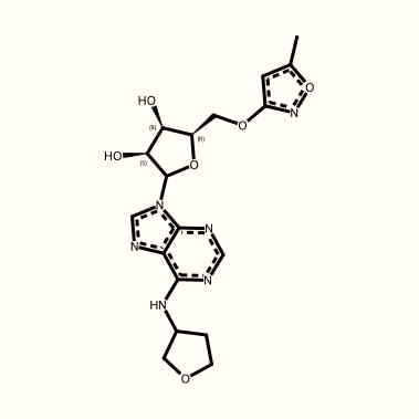 Cc1cc(OC[C@H]2OC(n3cnc4c(NC5CCOC5)ncnc43)[C@@H](O)[C@H]2O)no1